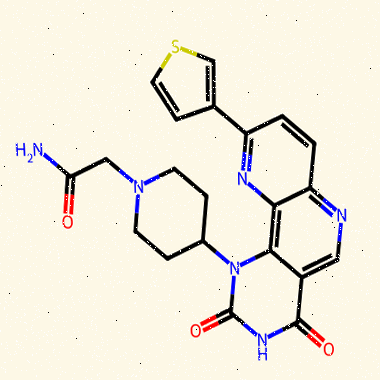 NC(=O)CN1CCC(n2c(=O)[nH]c(=O)c3cnc4ccc(-c5ccsc5)nc4c32)CC1